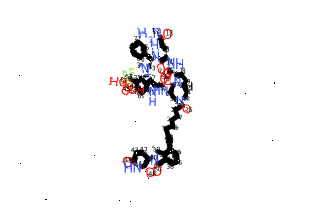 CN(C)C[C@@H](NC(=O)[C@H](CCC(N)=O)NC(=O)[C@@H]1CC[C@@H]2CCN(C(=O)CCCCCC#Cc3cccc4c3CN(C3CCC(=O)NC3=O)C4=O)C[C@H](NC(=O)c3cc4cc(C(F)(F)P(=O)(O)O)ccc4[nH]3)C(=O)N21)c1ccccc1